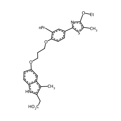 CCCc1cc(-c2nc(OCC)c(C)s2)ccc1OCCCOc1ccc2[nH]c(CC(=O)O)c(C)c2c1